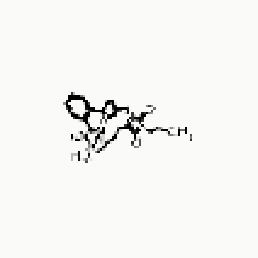 CCCCCc1c(Cl)n(CCC)c(=O)n1Cc1ccc(-c2ccccc2-c2nnn[nH]2)nc1